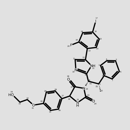 C[C@@H](c1ccccc1)[C@@H](c1ncc(-c2ccc(I)cc2F)[nH]1)N1C(=O)NC(c2ccc(OCCO)cc2)C1=O